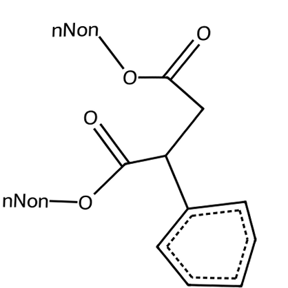 CCCCCCCCCOC(=O)CC(C(=O)OCCCCCCCCC)c1ccccc1